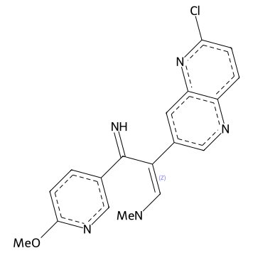 CN/C=C(\C(=N)c1ccc(OC)nc1)c1cnc2ccc(Cl)nc2c1